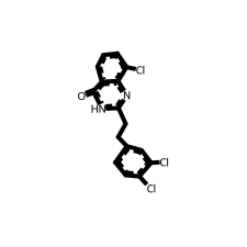 O=c1[nH]c(CCc2ccc(Cl)c(Cl)c2)nc2c(Cl)cccc12